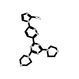 Cc1nccn1-c1ccc(-c2nc(N3CCOCC3)nc(N3CCOCC3)n2)nn1